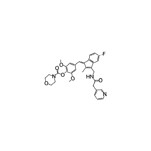 COc1cc(C=C2C(C)=C(CNC(=O)Cc3cccnc3)c3cc(F)ccc32)cc(OC)c1OC(=O)N1CCOCC1